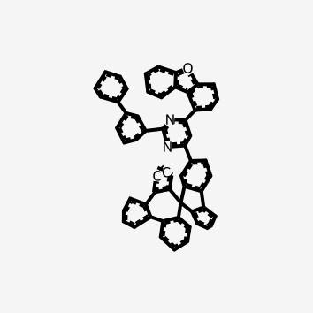 c1ccc(-c2cccc(-c3nc(-c4ccc5c(c4)C4(c6ccccc6-c6ccccc6-c6ccccc64)c4ccccc4-5)cc(-c4cccc5oc6ccccc6c45)n3)c2)cc1